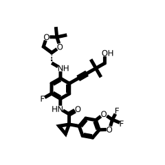 CC(C)(C#Cc1cc(NC(=O)C2(c3ccc4c(c3)OC(F)(F)O4)CC2)c(F)cc1NC[C@@H]1COC(C)(C)O1)CO